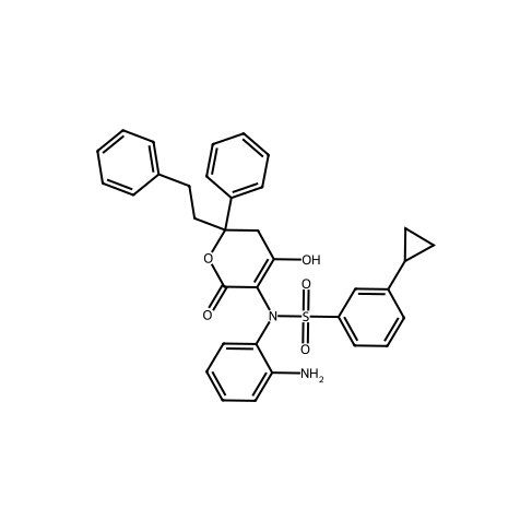 Nc1ccccc1N(C1=C(O)CC(CCc2ccccc2)(c2ccccc2)OC1=O)S(=O)(=O)c1cccc(C2CC2)c1